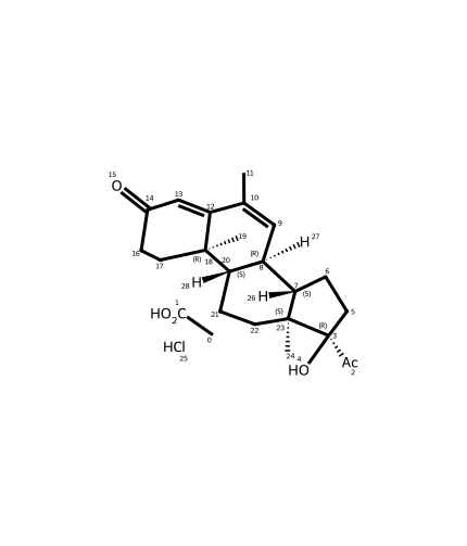 CC(=O)O.CC(=O)[C@@]1(O)CC[C@H]2[C@@H]3C=C(C)C4=CC(=O)CC[C@]4(C)[C@H]3CC[C@@]21C.Cl